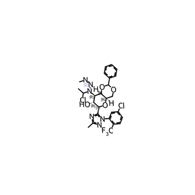 C/N=N\N(C(C)Cl)[C@@H]1[C@@H](O)[C@H](c2nc(C)nn2-c2cc(Cl)ccc2C(F)(F)F)O[C@@H]2COC(c3ccccc3)O[C@H]12